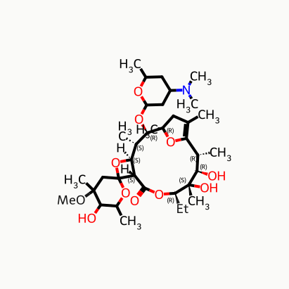 CC[C@H]1OC(=O)[C@H]2[C@@H](OC23CC(C)(OC)C(O)C(C)O3)[C@H](C)[C@@H](OC2CC(N(C)C)CC(C)O2)[C@@]2(C)CC(C)=C(O2)[C@H](C)[C@@H](O)[C@]1(C)O